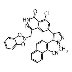 Cn1ncc(-c2cc(Cl)c3c(=O)[nH]nc(CN4Oc5ccccc5O4)c3c2)c1-c1ccc2ccccc2c1C#N